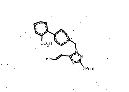 CCC=Cc1nc(CCCCC)nn1Cc1ccc(-c2ccccc2C(=O)O)cc1